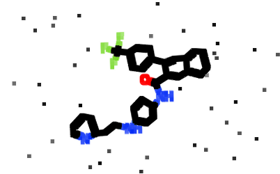 O=C(Nc1ccc(NCCc2ccccn2)cc1)c1cc2ccccc2cc1-c1ccc(C(F)(F)F)cc1